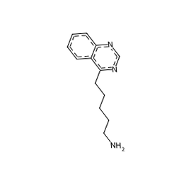 NCCCCCc1ncnc2ccccc12